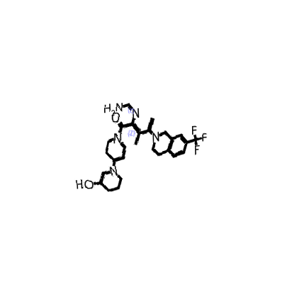 C=C(/C(C)=C(\N=C/N)C(=O)N1CCC(N2CCCC(O)C2)CC1)N1CCc2ccc(C(F)(F)F)cc2C1